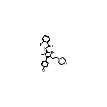 Cn1c(-c2ccc(Cl)cc2)c(CCN2CCOCC2)[nH]/c1=N\C(=O)c1ccccc1F